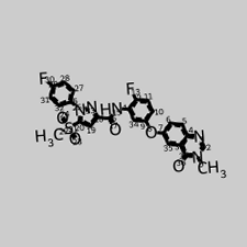 Cn1cnc2ccc(Oc3ccc(F)c(NC(=O)c4cc(S(C)(=O)=O)n(-c5ccc(F)cc5)n4)c3)cc2c1=O